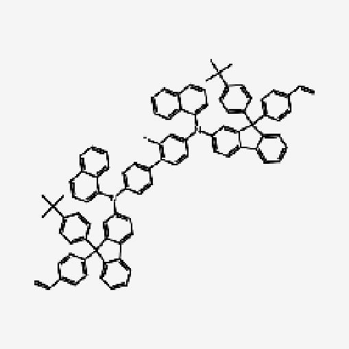 C=Cc1ccc(C2(c3ccc(C(C)(C)C)cc3)c3ccccc3-c3ccc(N(c4ccc(-c5ccc(N(c6ccc7c(c6)C(c6ccc(C=C)cc6)(c6ccc(C(C)(C)C)cc6)c6ccccc6-7)c6cccc7ccccc67)cc5F)cc4)c4cccc5ccccc45)cc32)cc1